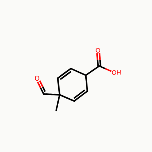 CC1(C=O)C=CC(C(=O)O)C=C1